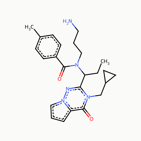 CCC(c1nn2cccc2c(=O)n1CC1CC1)N(CCCN)C(=O)c1ccc(C)cc1